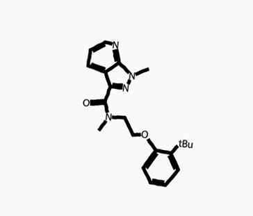 CN(CCOc1ccccc1C(C)(C)C)C(=O)c1nn(C)c2ncccc12